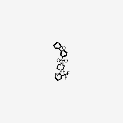 O=S(=O)(c1ccc2oc3ccccc3c2c1)N1CCN(c2ncccc2C(F)(F)F)CC1